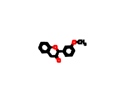 COc1cccc(C2Oc3ccccc3CC2=O)c1